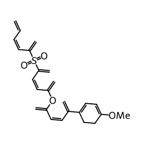 C=C/C=C\C(=C)S(=O)(=O)C(=C)/C=C\C(=C)OC(=C)/C=C\C(=C)C1=CC=C(OC)CC1